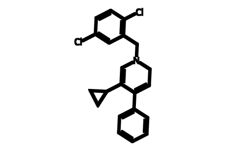 Clc1ccc(Cl)c(CN2C=C(C3CC3)C(c3ccccc3)=CC2)c1